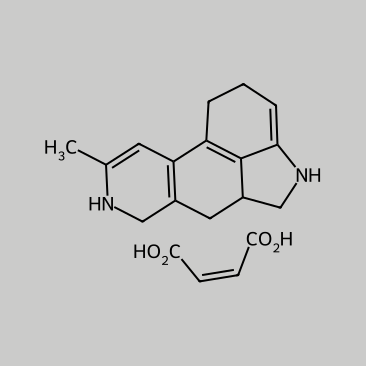 CC1=CC2=C(CN1)CC1CNC3=CCCC2=C31.O=C(O)/C=C\C(=O)O